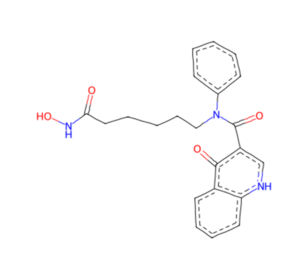 O=C(CCCCCN(C(=O)c1c[nH]c2ccccc2c1=O)c1ccccc1)NO